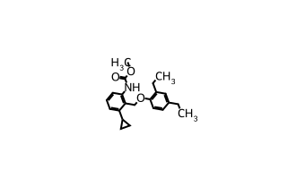 CCc1ccc(OCc2c(NC(=O)OC)cccc2C2CC2)c(CC)c1